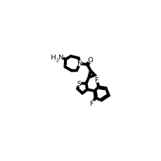 NC1CCCN(C(=O)C2CC2C2SCCC2c2c(F)cccc2F)CC1